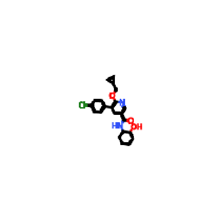 O=C(N[C@H]1CCCC[C@H]1O)c1cnc(OCC2CC2)c(-c2ccc(Cl)cc2)c1